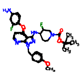 COc1ccc(Cn2nc(NC3CCN(C(=O)OC(C)(C)C)CC3F)c3c(Oc4ccc(N)cc4F)ccnc32)cc1